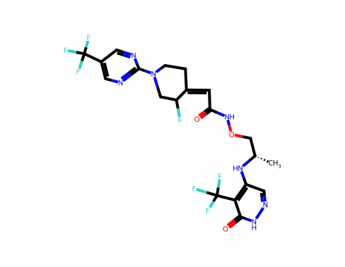 C[C@@H](CONC(=O)/C=C1/CCN(c2ncc(C(F)(F)F)cn2)CC1F)Nc1cn[nH]c(=O)c1C(F)(F)F